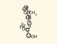 CN(CC12CC3CC(CC(C3)C1)C2)C(=O)c1ccc(N2CCN(Cc3cc(OC(F)(F)F)cc(-c4cccc(O)c4)c3)CC2)nn1